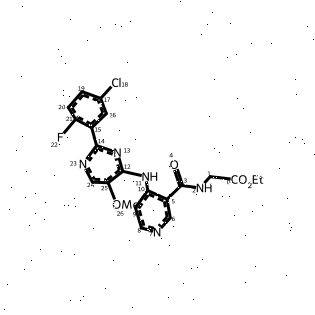 CCOC(=O)CNC(=O)c1cnccc1Nc1nc(-c2cc(Cl)ccc2F)ncc1OC